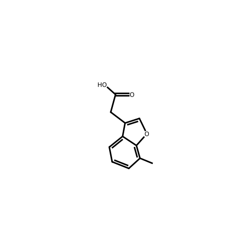 Cc1cccc2c(CC(=O)O)coc12